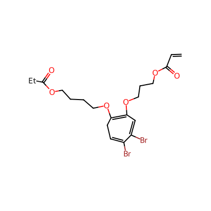 C=CC(=O)OCCCOC1=C(OCCCCOC(=O)CC)CC=C(Br)C(Br)=C1